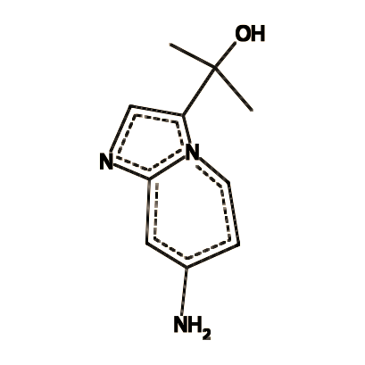 CC(C)(O)c1cnc2cc(N)ccn12